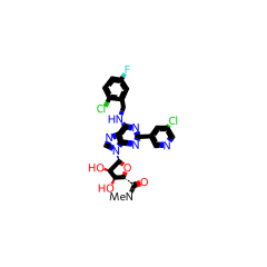 CNC(=O)[C@H]1O[C@@H](n2cnc3c(NCc4cc(F)ccc4Cl)nc(-c4cncc(Cl)c4)nc32)[C@H](O)[C@@H]1O